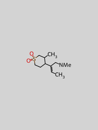 C/C=C(\CNC)C1CCS(=O)(=O)CC1C